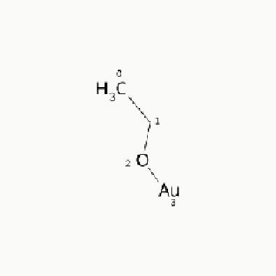 CC[O][Au]